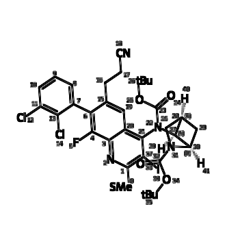 CSc1nc2c(F)c(-c3cccc(Cl)c3Cl)c(CCC#N)cc2c(N(C(=O)OC(C)(C)C)[C@H]2[C@@H]3C[C@H]2N(C(=O)OC(C)(C)C)C3)c1I